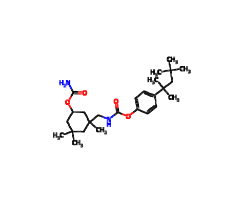 CC(C)(C)CC(C)(C)c1ccc(OC(=O)NCC2(C)CC(OC(N)=O)CC(C)(C)C2)cc1